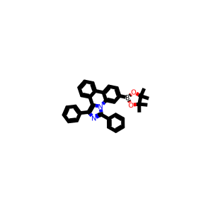 CC1(C)OB(c2ccc3c4ccccc4c4c(-c5ccccc5)nc(-c5ccccc5)n4c3c2)OC1(C)C